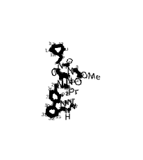 COC(=O)Cn1c(=O)n(CCc2ccccc2)c(=O)c2c1nc(C(C)C)n2Cc1ccc(-c2ccccc2-c2nnn[nH]2)cc1